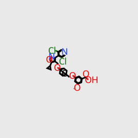 COc1cc(OCC23CCC(OCc4c(-c5c(Cl)cncc5Cl)noc4C4CC4)(CC2)CC3)cc(C(=O)O)c1